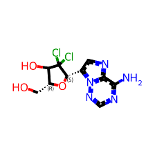 Nc1ncnn2c([C@@H]3O[C@H](CO)C(O)C3(Cl)Cl)cnc12